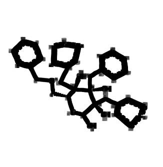 OC1O[C@H](COCc2ccccc2)[C@](O)(Cc2ccccc2)[C@@](O)(Cc2ccccc2)[C@]1(O)Cc1ccccc1